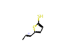 C/C=C/c1ccc(S)s1